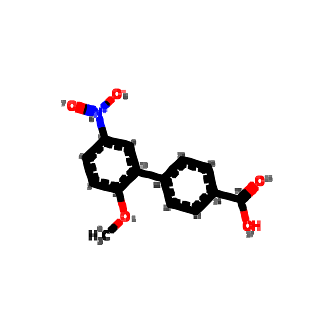 COc1ccc([N+](=O)[O-])cc1-c1ccc(C(=O)O)cc1